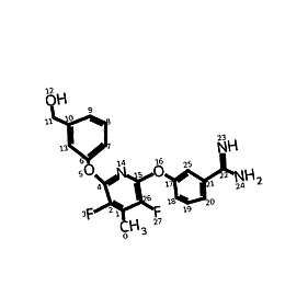 Cc1c(F)c(Oc2cccc(CO)c2)nc(Oc2cccc(C(=N)N)c2)c1F